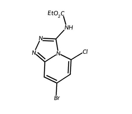 CCOC(=O)Nc1nnc2cc(Br)cc(Cl)n12